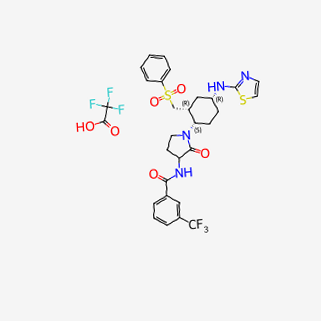 O=C(NC1CCN([C@H]2CC[C@@H](Nc3nccs3)C[C@H]2CS(=O)(=O)c2ccccc2)C1=O)c1cccc(C(F)(F)F)c1.O=C(O)C(F)(F)F